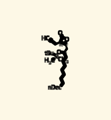 C#CC[C@H]1C(=O)O[C@@H]1C[C@@H](CCCCCCCCCCCCCCCCC)O[Si](C)(C)C(C)(C)C